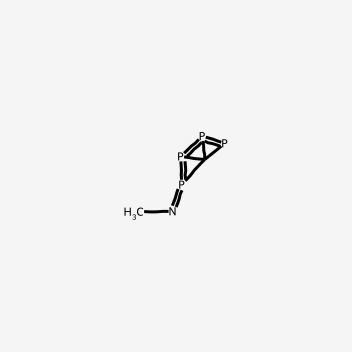 CN=P1=P2=P3=PC132